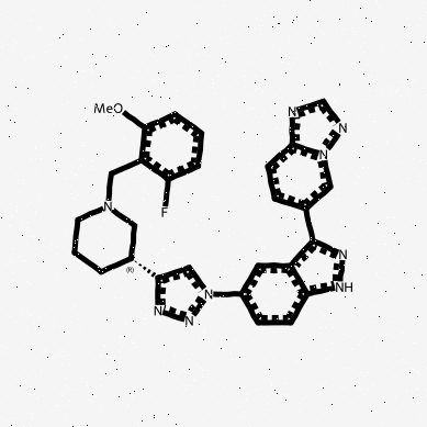 COc1cccc(F)c1CN1CCC[C@@H](c2cn(-c3ccc4[nH]nc(-c5ccc6ncnn6c5)c4c3)nn2)C1